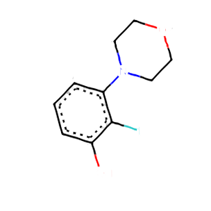 Oc1cccc(N2CCOCC2)c1F